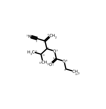 C=C(C#N)C(OC(=O)OCC)C(C)C